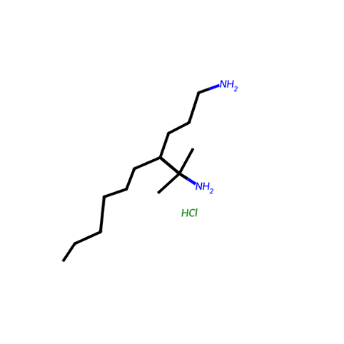 CCCCCCC(CCCN)C(C)(C)N.Cl